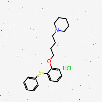 Cl.c1ccc(Sc2ccccc2OCCCCN2CCCCC2)cc1